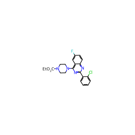 CCOC(=O)N1CCN(c2nc(-c3ccccc3Cl)nc3ccc(F)cc23)CC1